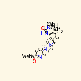 CNC(=O)c1ccc(N2CCN(Cc3ccc4c(c3)NC(=O)N(C)C4(C)C)CC2)cn1